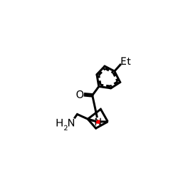 CCc1ccc(C(=O)N2CC3CC2(CN)C3)cc1